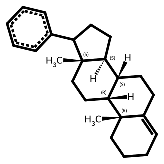 C[C@]12CCCC=C1CC[C@@H]1[C@H]2CC[C@]2(C)C(c3ccccc3)CC[C@@H]12